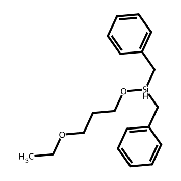 CCOCCCO[SiH](Cc1ccccc1)Cc1ccccc1